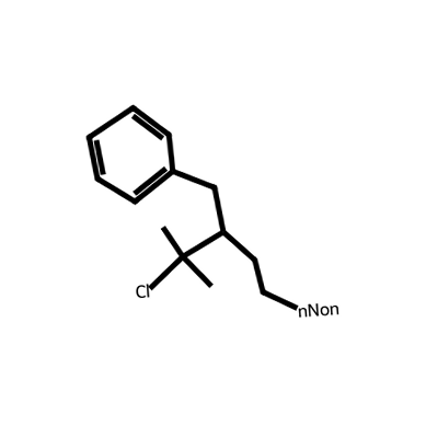 CCCCCCCCCCCC(Cc1ccccc1)C(C)(C)Cl